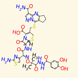 CC(C)(ON=C(C(=O)N[C@@H]1C(=O)N2C(C(=O)O)=C(CSc3c4c(nc5c(C(N)=O)cnn35)CCC4)CS[C@H]12)c1csc(N)n1)C(=O)NNC(=O)c1ccc(O)c(O)c1